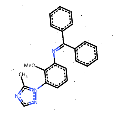 COc1c(N=C(c2ccccc2)c2ccccc2)cccc1-n1ncnc1C